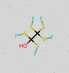 OC(SF)(SF)C(SF)(SF)SF